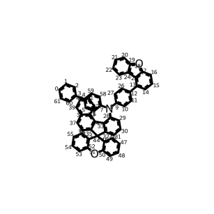 c1ccc(-c2ccc(N(c3ccc(-c4cccc5oc6ccccc6c45)cc3)c3cccc4c3-c3c(ccc5ccccc35)C43c4ccccc4Oc4ccccc43)cc2)cc1